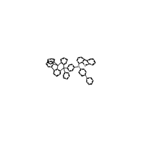 c1ccc(-c2ccc(N(c3ccc(C4(c5ccccc5)c5ccccc5C5(c6ccccc6)c6ccccc6-c6cccc4c65)cc3)c3cccc4c3sc3ccccc34)cc2)cc1